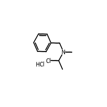 CC(Cl)N(C)Cc1ccccc1.Cl